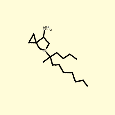 CCCCCCCC(C)(CCCC)N1CC(N)C2(CC2)C1